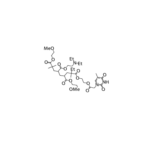 CCN(CC)CCOC(=O)C(CC(CC(C)(CC)C(=O)OCCOC(=O)Cn1cc(C)c(=O)[nH]c1=O)C(=O)OCCOC)CC(C)(C)C(=O)OCCOC